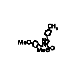 COC(=O)c1cc(-c2ccc(C)cc2)nn1Cc1ccc(OC)cc1